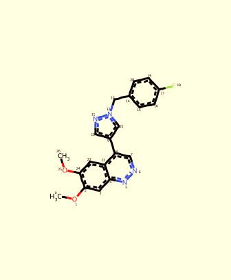 COc1cc2nncc(-c3cnn(Cc4ccc(F)cc4)c3)c2cc1OC